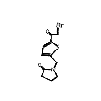 O=C(CBr)c1ccc(CN2CCCC2=O)s1